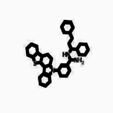 NC(NC(CCC1CC=CCC1)C1CCCCC1)C1=CC(N2C3=C(CCCC3)C3C4SC5CCCCC5C4CCC32)CCC1